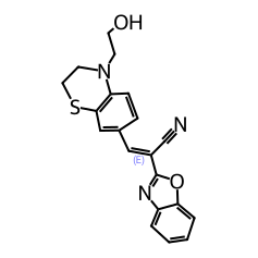 N#C/C(=C\c1ccc2c(c1)SCCN2CCO)c1nc2ccccc2o1